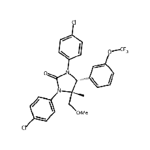 COC[C@@]1(C)[C@@H](c2cccc(OC(F)(F)F)c2)N(c2ccc(Cl)cc2)C(=O)N1c1ccc(Cl)cc1